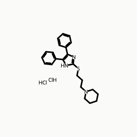 Cl.Cl.c1ccc(-c2nc(SCCCN3CCCCC3)[nH]c2-c2ccccc2)cc1